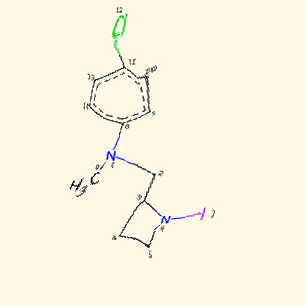 CN(CC1CCN1I)c1ccc(Cl)cc1